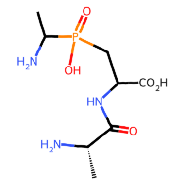 CC(N)P(=O)(O)CC(NC(=O)[C@H](C)N)C(=O)O